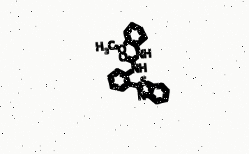 COc1ccccc1NC(=O)Nc1ccccc1-c1nc2ccccc2s1